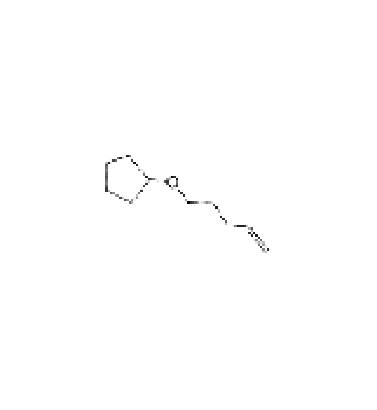 C=CCCCOC1CCCC1